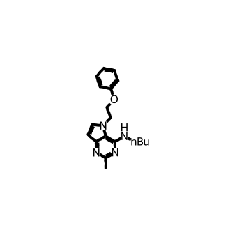 CCCCNc1nc(C)nc2ccn(CCOc3ccccc3)c12